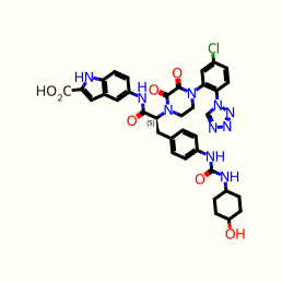 O=C(Nc1ccc(C[C@@H](C(=O)Nc2ccc3[nH]c(C(=O)O)cc3c2)N2CCN(c3cc(Cl)ccc3-n3cnnn3)C(=O)C2=O)cc1)NC1CCC(O)CC1